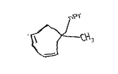 CCCC1(C)C=CC=[C]C1